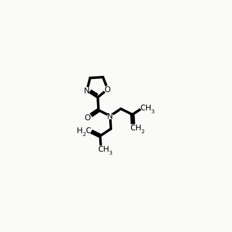 C=C(C)CN(CC(=C)C)C(=O)C1=NCCO1